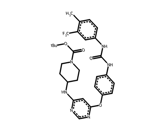 Cc1ccc(NC(=O)Nc2ccc(Oc3cc(NC4CCN(C(=O)OC(C)(C)C)CC4)ncn3)cc2)cc1C(F)(F)F